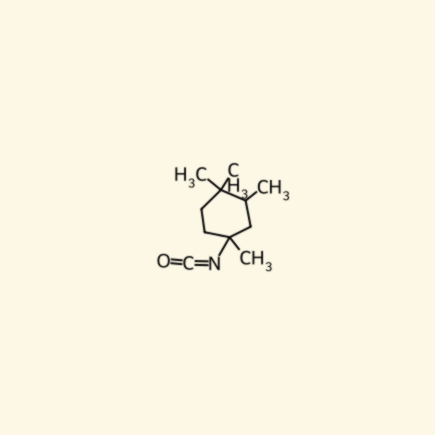 CC1CC(C)(N=C=O)CCC1(C)C